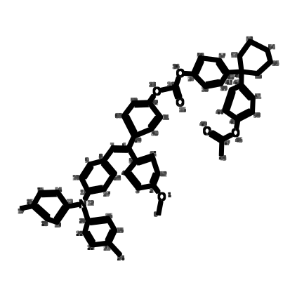 COc1ccc(/C(=C\c2ccc(N(c3ccc(C)cc3)c3ccc(C)cc3)cc2)c2ccc(OC(=O)Oc3ccc(C4(c5ccc(OC(C)=O)cc5)CCCCC4)cc3)cc2)cc1